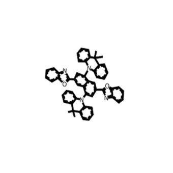 CC1(C)c2ccccc2N(c2cc(-c3nc4ccccc4o3)cc3c(N4c5ccccc5C(C)(C)c5ccccc54)cc(-c4nc5ccccc5o4)cc23)c2ccccc21